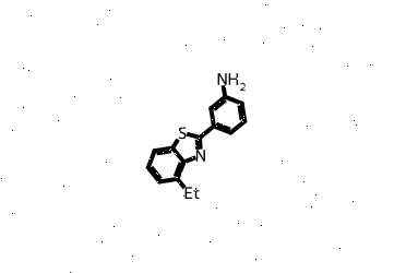 CCc1cccc2sc(-c3cccc(N)c3)nc12